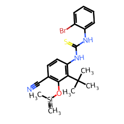 C[SiH](C)Oc1c(C#N)ccc(NC(=S)Nc2ccccc2Br)c1C(C)(C)C